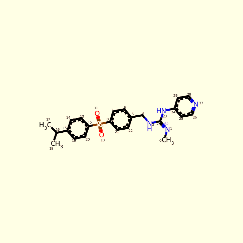 C/N=C(\NCc1ccc(S(=O)(=O)c2ccc(C(C)C)cc2)cc1)Nc1ccncc1